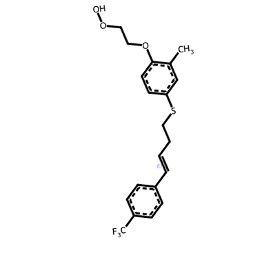 Cc1cc(SCC/C=C/c2ccc(C(F)(F)F)cc2)ccc1OCCOO